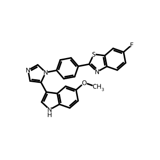 COc1ccc2[nH]cc(-c3cncn3-c3ccc(-c4nc5ccc(F)cc5s4)cc3)c2c1